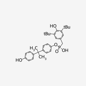 CC(C)(C)c1cc(CP(=O)(O)Oc2ccc(C(C)(C)c3ccc(O)cc3)cc2)cc(C(C)(C)C)c1O